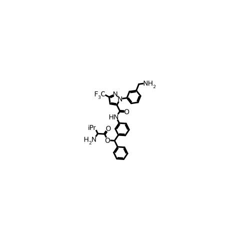 CC(C)C(N)C(=O)OC(c1ccccc1)c1cccc(NC(=O)c2cc(C(F)(F)F)nn2-c2cccc(CN)c2)c1